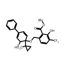 CC(C)(C)OC(=O)c1c(COC2(C3(C(=O)O)CC3)C=CC(c3ccccc3)=CC2F)ccc(C(F)(F)F)c1O